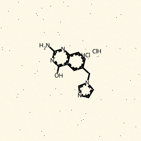 Cl.Cl.Nc1nc(O)c2cc(Cn3ccnc3)ccc2n1